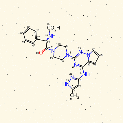 Cc1cc(Nc2nc(N3CCN(C(=O)[C@H](NC(=O)O)c4ccccc4)CC3)nn3cccc23)n[nH]1